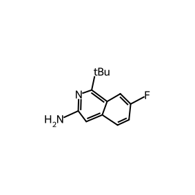 CC(C)(C)c1nc(N)cc2ccc(F)cc12